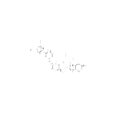 CC1c2cc(Oc3ccnc(-c4nc(C(F)(F)F)c[nH]4)c3)ccc2OC1C1Nc2ccc(C(F)(F)F)cc2N1